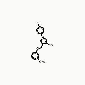 CCCc1nn(-c2ccc(C(F)(F)F)cn2)cc1COc1cccc(OC(C)=O)c1